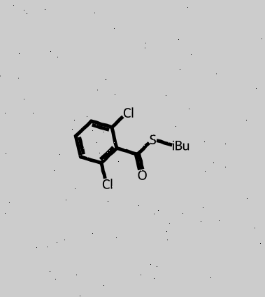 CCC(C)SC(=O)c1c(Cl)cccc1Cl